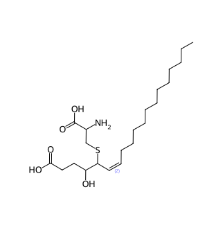 CCCCCCCCCCCC/C=C\C(SCC(N)C(=O)O)C(O)CCC(=O)O